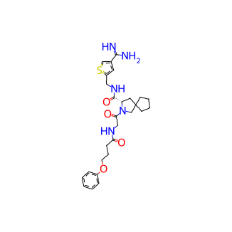 N=C(N)c1csc(CNC(=O)[C@@H]2CC3(CCCC3)CN2C(=O)CNC(=O)CCCOc2ccccc2)c1